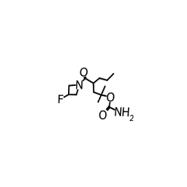 CCCC(CC(C)(C)OC(N)=O)C(=O)N1CC(F)C1